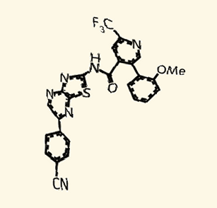 COc1ccccc1-c1cnc(C(F)(F)F)cc1C(=O)Nc1nc2ncc(-c3ccc(C#N)cc3)nc2s1